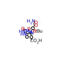 CC(C)(C)Oc1cc(C(=O)CC(N)=O)ccc1C1=N[C@@H](c2ccc(C(=O)O)cc2)[C@@H](c2c[nH]c3ccccc23)N1C(=O)N1CCNC(=O)C1